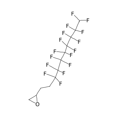 F[C](F)C(F)(F)C(F)(F)C(F)(F)C(F)(F)C(F)(F)C(F)(F)C(F)(F)CCC1CO1